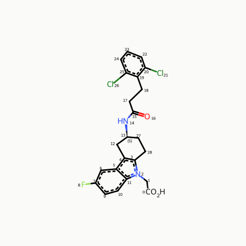 O=C(O)Cn1c2c(c3cc(F)ccc31)C[C@@H](NC(=O)CCc1c(Cl)cccc1Cl)CC2